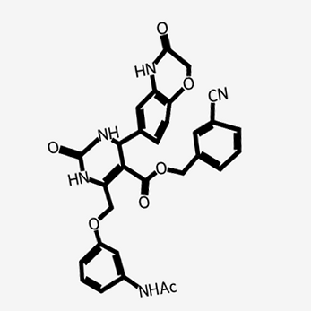 CC(=O)Nc1cccc(OCC2=C(C(=O)OCc3cccc(C#N)c3)C(c3ccc4c(c3)NC(=O)CO4)NC(=O)N2)c1